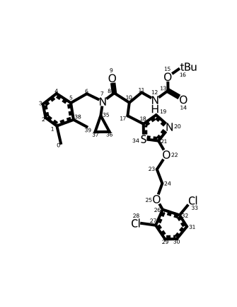 Cc1cccc(CN(C(=O)C(CNC(=O)OC(C)(C)C)Cc2cnc(OCCOc3c(Cl)cccc3Cl)s2)C2CC2)c1C